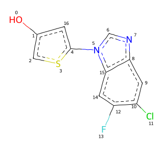 Oc1csc(-n2cnc3cc(Cl)c(F)cc32)c1